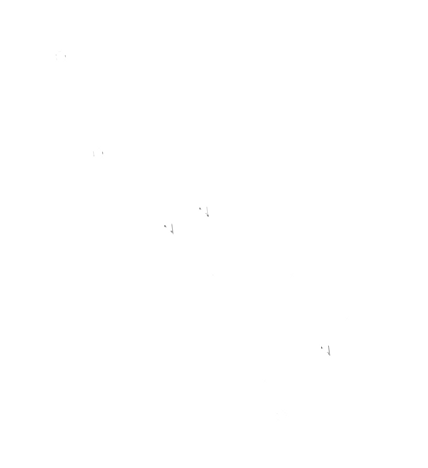 COCCOCCn1cc(-c2ccc(OC)c3nc(C)cpc23)cn1